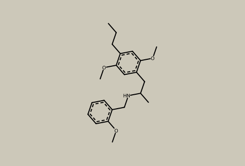 CCCc1cc(OC)c(CC(C)NCc2ccccc2OC)cc1OC